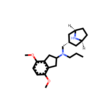 CCCN(C[C@@H]1C[C@H]2CC[C@@H](C1)N2)C1Cc2c(OC)ccc(OC)c2C1